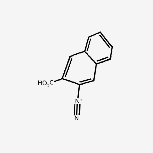 N#[N+]c1cc2ccccc2cc1C(=O)O